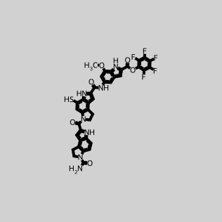 COc1cc(NC(=O)c2cc3c4c(cc(S)c3[nH]2)N(C(=O)c2cc3c5c(ccc3[nH]2)N(C(N)=O)CC5)CC4)cc2cc(C(=O)Oc3c(F)c(F)c(F)c(F)c3F)[nH]c12